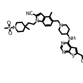 Cc1c(CN2CCC(Nc3ncnc4sc(CC(F)(F)F)cc34)CC2)ccc2c1cc(C#N)n2CCC1(C)CCN(S(C)(=O)=O)CC1